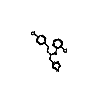 Clc1ccc(CCC(Cn2ccnc2)Sc2ccccc2Cl)cc1